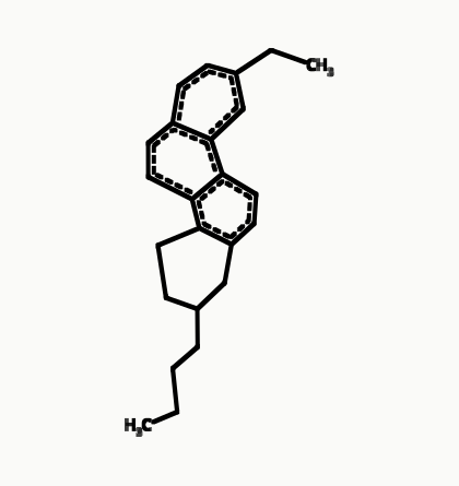 CCCCC1CCc2c(ccc3c2ccc2ccc(CC)cc23)C1